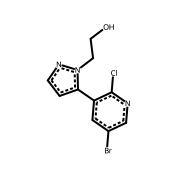 OCCn1nccc1-c1cc(Br)cnc1Cl